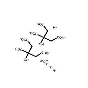 O=C([O-])CC(O)(CC(=O)[O-])C(=O)[O-].O=C([O-])CC(O)(CC(=O)[O-])C(=O)[O-].[H+].[H+].[H+].[H+].[Mg+2]